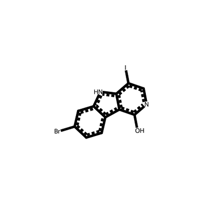 Oc1ncc(I)c2[nH]c3cc(Br)ccc3c12